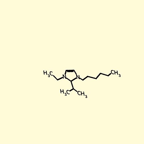 CCCCCCN1C=CN(CC)C1C(C)C